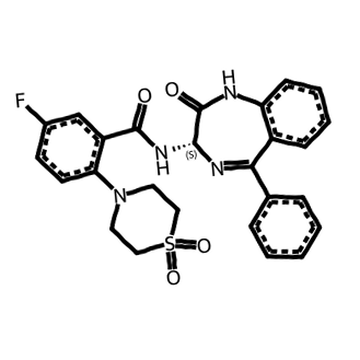 O=C(N[C@H]1N=C(c2ccccc2)c2ccccc2NC1=O)c1cc(F)ccc1N1CCS(=O)(=O)CC1